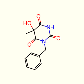 CC1(O)C(=O)NC(=O)N(Cc2ccccc2)C1=O